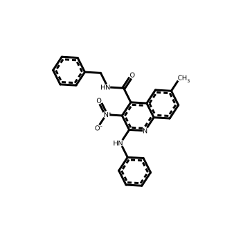 Cc1ccc2nc(Nc3ccccc3)c([N+](=O)[O-])c(C(=O)NCc3ccccc3)c2c1